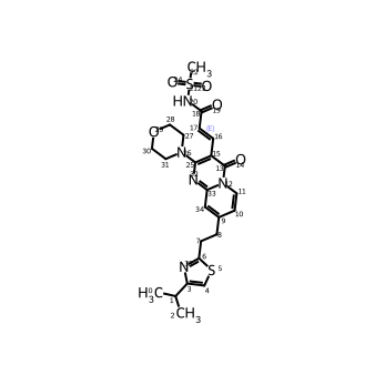 CC(C)c1csc(CCc2ccn3c(=O)c(/C=C/C(=O)NS(C)(=O)=O)c(N4CCOCC4)nc3c2)n1